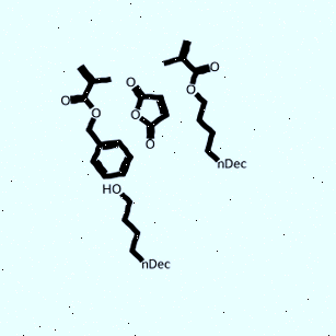 C=C(C)C(=O)OCCCCCCCCCCCCCC.C=C(C)C(=O)OCc1ccccc1.CCCCCCCCCCCCCCO.O=C1C=CC(=O)O1